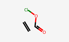 C=C.O=COCl